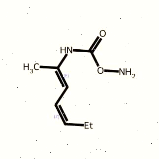 CC/C=C\C=C(/C)NC(=O)ON